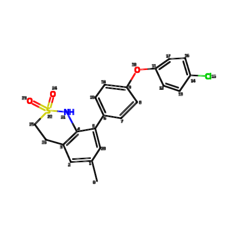 Cc1cc2c(c(-c3ccc(Oc4ccc(Cl)cc4)cc3)c1)NS(=O)(=O)CC2